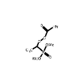 CCCC(=O)OOC(C(Cl)(Cl)Cl)P(=O)(OC)OC